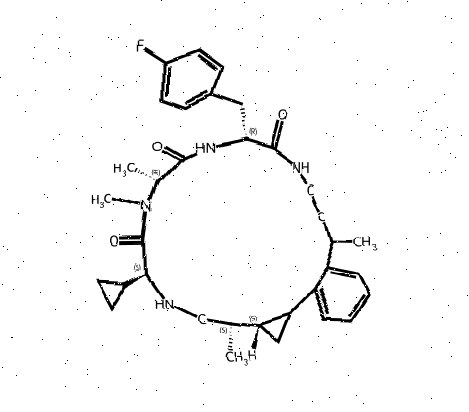 CC1CCNC(=O)[C@@H](Cc2ccc(F)cc2)NC(=O)[C@@H](C)N(C)C(=O)[C@H](C2CC2)NC[C@@H](C)[C@H]2CC2c2ccccc21